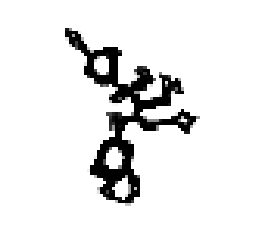 O=S(=O)(C(=CO)C(=NC1CCC1)Nc1ccc2c(c1)OCO2)c1ccc(Cl)cc1